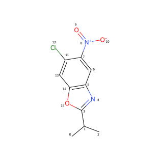 CC(C)c1nc2cc([N+](=O)[O-])c(Cl)cc2o1